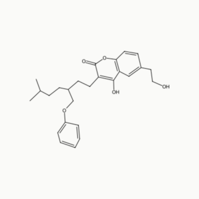 CC(C)CCC(CCc1c(O)c2cc(CCO)ccc2oc1=O)COc1ccccc1